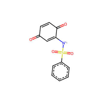 O=C1C=CC(=O)C([N+]S(=O)(=O)c2ccccc2)=C1